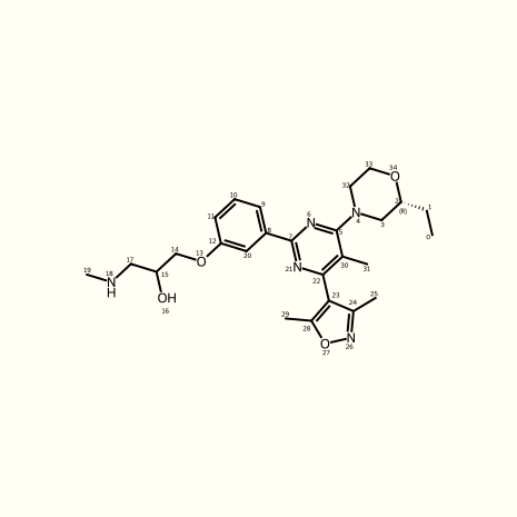 CC[C@@H]1CN(c2nc(-c3cccc(OCC(O)CNC)c3)nc(-c3c(C)noc3C)c2C)CCO1